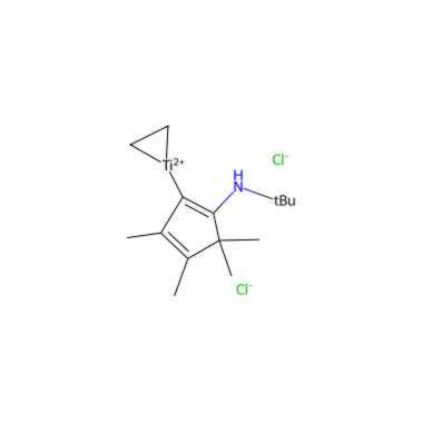 CC1=C(C)C(C)(C)C(NC(C)(C)C)=[C]1[Ti+2]1[CH2][CH2]1.[Cl-].[Cl-]